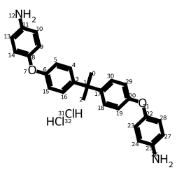 CC(C)(c1ccc(Oc2ccc(N)cc2)cc1)c1ccc(Oc2ccc(N)cc2)cc1.Cl.Cl